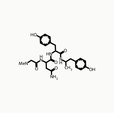 CNCC(=O)NC(CC(N)=O)C(=O)NC(Cc1ccc(O)cc1)C(=O)NC(C)Cc1ccc(O)cc1